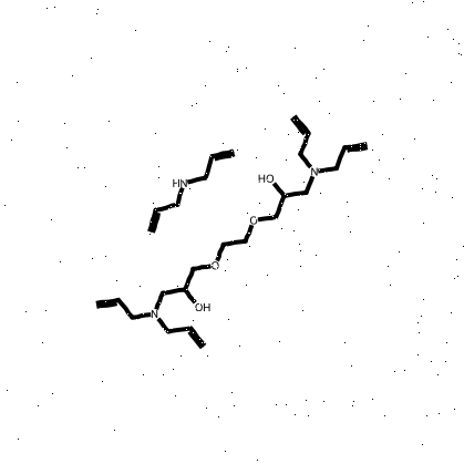 C=CCN(CC=C)CC(O)COCCOCC(O)CN(CC=C)CC=C.C=CCNCC=C